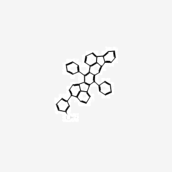 Oc1cccc(-c2ccc3c4c(-c5ccccc5)c5c(cc6c7ccccc7c7cccc5c76)c(-c5ccccc5)c4c4cccc2c43)c1